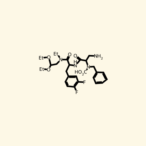 CCOC(CN(CC)C(=O)C(Cc1ccc(F)c(F)c1)NC(=O)C(CN)N(Cc1ccccc1)C(=O)O)OCC